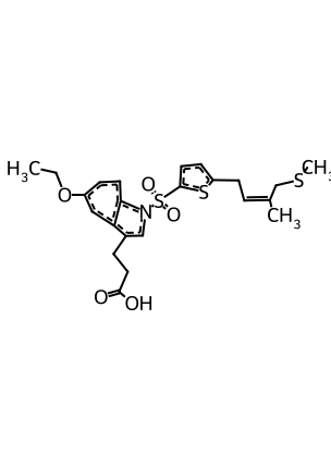 CCOc1ccc2c(c1)c(CCC(=O)O)cn2S(=O)(=O)c1ccc(CC=C(C)CSC)s1